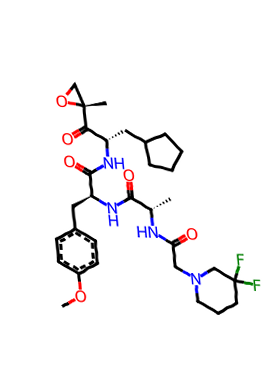 COc1ccc(C[C@H](NC(=O)[C@H](C)NC(=O)CN2CCCC(F)(F)C2)C(=O)N[C@@H](CC2CCCC2)C(=O)[C@@]2(C)CO2)cc1